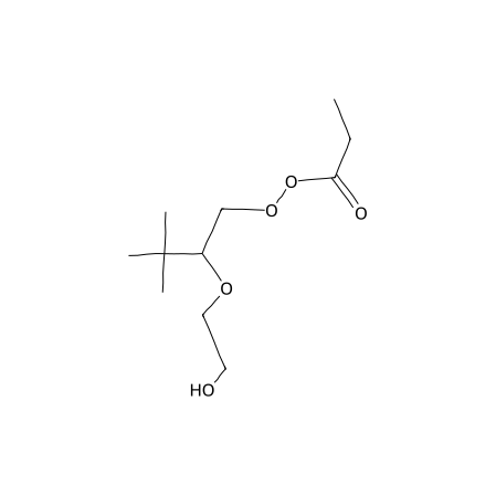 CCC(=O)OOCC(OCCO)C(C)(C)C